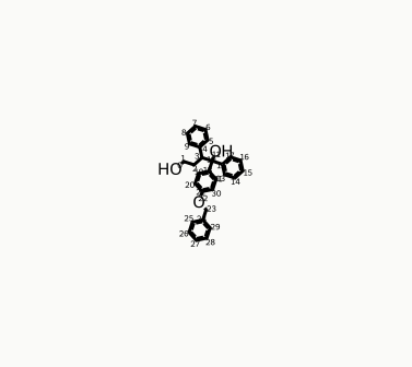 OCCC(c1ccccc1)C(O)(c1ccccc1)c1ccc(OCc2ccccc2)cc1